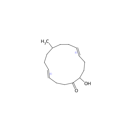 CC1CC/C=C/CCC(=O)C(O)CC/C=C/CC1